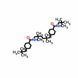 CC(C)(C)CNC(=O)C1CCC(CC(C)(C)CCC(C)(C)CNC(=O)C2CCC(CC(C)(C)C)CC2)CC1